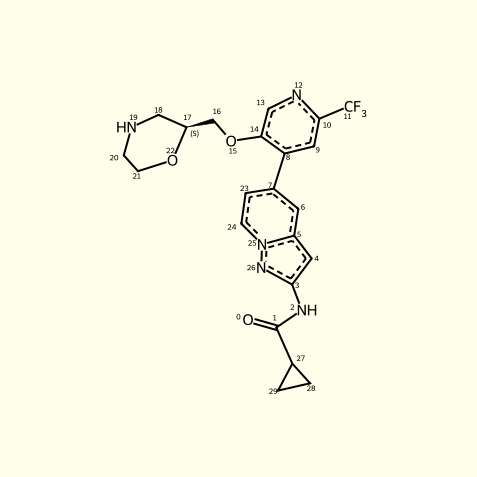 O=C(Nc1cc2cc(-c3cc(C(F)(F)F)ncc3OC[C@@H]3CNCCO3)ccn2n1)C1CC1